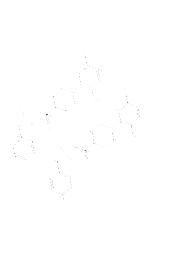 CCOC(=O)c1cc(C#N)c(N2CCC(C(=O)NS(=O)(=O)Cc3ccc(Cl)cc3)CC2)nc1C.CCOC(=O)c1cc(C#N)c(N2CCC(C(=O)NS(=O)(=O)Cc3ccccc3)CC2)nc1CC